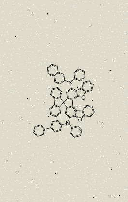 c1ccc(-c2ccc(N(c3ccccc3)c3cc4c(c5c3oc3ccccc35)-c3c(cc(N(c5ccccc5)c5ccc6ccccc6c5)c5c3oc3ccccc35)C43c4ccccc4-c4ccccc43)cc2)cc1